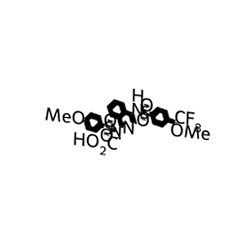 COc1ccc(S(=O)(=O)N(CC(=O)O)c2ncc(NS(=O)(=O)c3ccc(C(OC)C(F)(F)F)cc3)c3ccccc23)cc1